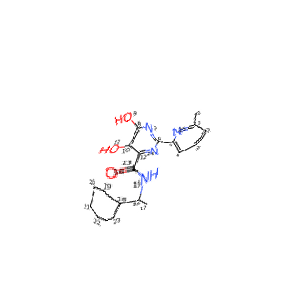 Cc1cccc(-c2nc(O)c(O)c(C(=O)NC(C)C3CCCCC3)n2)n1